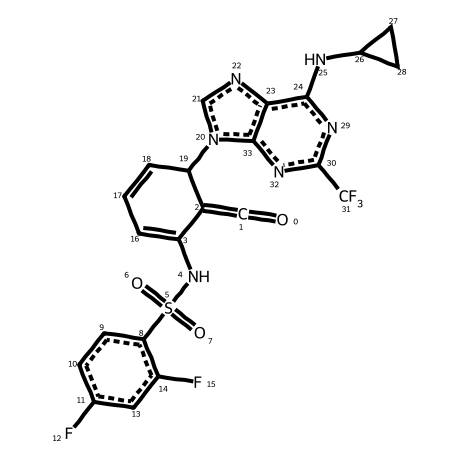 O=C=C1C(NS(=O)(=O)c2ccc(F)cc2F)=CC=CC1n1cnc2c(NC3CC3)nc(C(F)(F)F)nc21